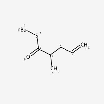 C=CCC(C)C(=O)SCCCC